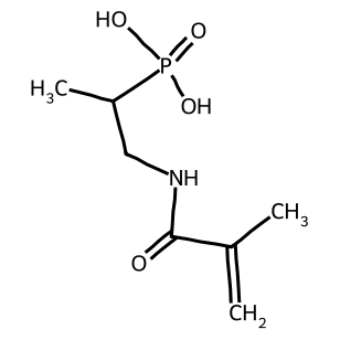 C=C(C)C(=O)NCC(C)P(=O)(O)O